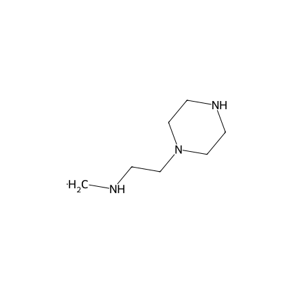 [CH2]NCCN1CCNCC1